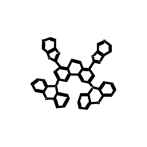 c1ccc2c(c1)Oc1ccccc1N2c1cc(-c2nc3ccncc3o2)c2ccc3c(-c4nc5ccncc5o4)cc(N4c5ccccc5Oc5ccccc54)cc3c2c1